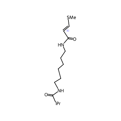 CS/C=C/C(=O)NCCCCCCNC(=O)C(C)C